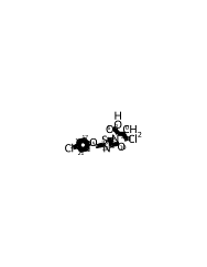 C=C(CCl)C(C(=O)O)N1C(=O)C2N=C(COc3ccc(Cl)cc3)SC21